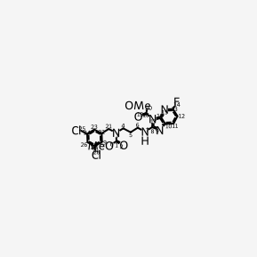 COC(=O)N(CCCNc1nc2ccc(F)nc2n1C(=O)OC)Cc1cc(Cl)cc(Cl)c1